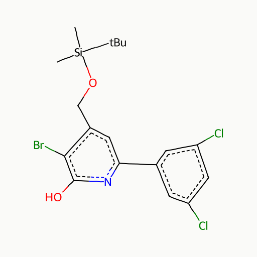 CC(C)(C)[Si](C)(C)OCc1cc(-c2cc(Cl)cc(Cl)c2)nc(O)c1Br